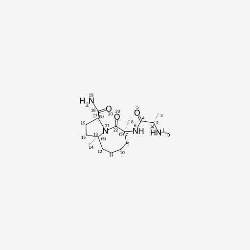 CN[C@@H](C)C(=O)N[C@@]1(C)CCCC[C@@]2(C)CC[C@@H](C(N)=O)N2C1=O